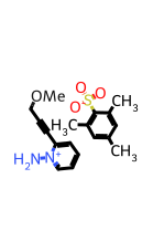 COCC#Cc1cccc[n+]1N.Cc1cc(C)c(S(=O)(=O)[O-])c(C)c1